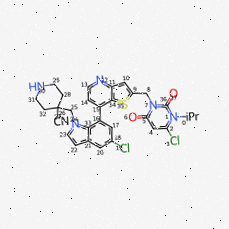 CC(C)n1c(Cl)cc(=O)n(Cc2cc3nccc(-c4cc(Cl)cc5ccn(CC6(C#N)CCNCC6)c45)c3s2)c1=O